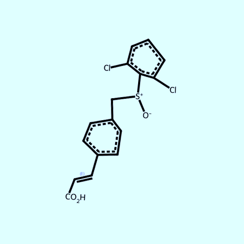 O=C(O)/C=C/c1ccc(C[S+]([O-])c2c(Cl)cccc2Cl)cc1